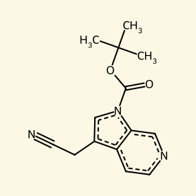 CC(C)(C)OC(=O)n1cc(CC#N)c2ccncc21